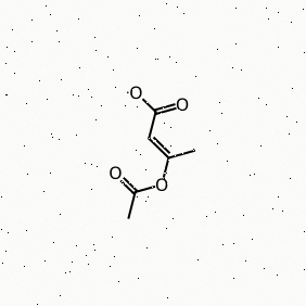 CC(=O)OC(C)=CC([O])=O